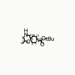 CC1CNCC2(CCN(C(=O)OC(C)(C)C)CC2)O1